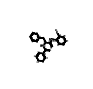 C=C(NC(Cc1ccccc1)C(=C)Nc1ccccc1F)C1=CCCC=C1